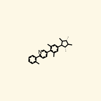 Cc1ccccc1-c1ccc(-c2c(C)cc(C3C(C)[C@H](C)C(C)[C@@H]3C)cc2C)cn1